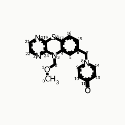 COCN1c2cc(Cn3ccc(=O)cc3)ccc2Sc2nccnc21